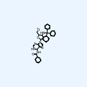 COCC1OC(n2cnc3c2N=CNC3NC(=O)c2ccccc2)CC1NC(c1ccccc1)(c1ccccc1)c1ccccc1